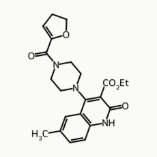 CCOC(=O)c1c(N2CCN(C(=O)C3=CCCO3)CC2)c2cc(C)ccc2[nH]c1=O